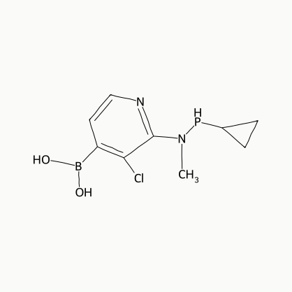 CN(PC1CC1)c1nccc(B(O)O)c1Cl